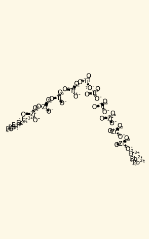 [Er+3].[Er+3].[Er+3].[Er+3].[O]=[Ti]([O-])[O-].[O]=[Ti]([O-])[O-].[O]=[Ti]([O-])[O-].[O]=[Ti]([O-])[O-].[O]=[Ti]([O-])[O-].[O]=[Zr]([O-])[O-].[O]=[Zr]([O-])[O-].[O]=[Zr]([O-])[O-].[O]=[Zr]([O-])[O-].[O]=[Zr]([O-])[O-].[Pb+2].[Pb+2].[Pb+2].[Pb+2]